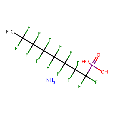 N.O=P(O)(O)C(F)(F)C(F)(F)C(F)(F)C(F)(F)C(F)(F)C(F)(F)C(F)(F)C(F)(F)F